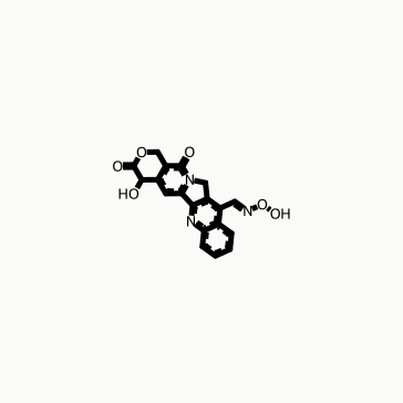 O=C1OCc2c(cc3n(c2=O)Cc2c-3nc3ccccc3c2/C=N/OO)C1O